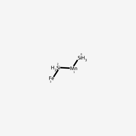 [SiH3][Mn][SiH2][Fe]